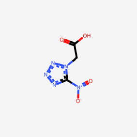 O=C(O)Cn1nnnc1[N+](=O)[O-]